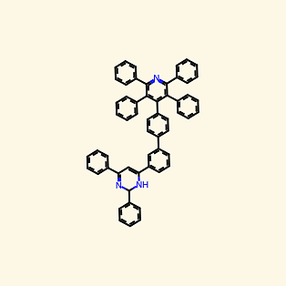 C1=C(c2cccc(-c3ccc(-c4c(-c5ccccc5)c(-c5ccccc5)nc(-c5ccccc5)c4-c4ccccc4)cc3)c2)NC(c2ccccc2)N=C1c1ccccc1